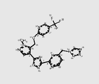 Cn1ncc(-c2nc(-c3nccc(Cn4cnnn4)n3)no2)c1COc1ccc(C(F)(F)F)cn1